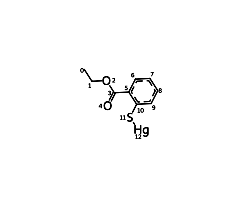 CCOC(=O)c1ccccc1[S][Hg]